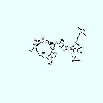 COc1cc2cc(c1Cl)N(C)C(=O)C[C@H](OC(=O)Nc1ccc(NC(=O)[C@H](CCCNC(N)=O)NC(=O)[C@@H](NC(=S)NCCCCN3C(=O)C=CC3=O)C(C)C)cc1C)[C@]1(C)CC[C@H]1[C@H](C)[C@@H]1C[C@@](O)(NC(=O)O1)[C@H](OC)/C=C/C=C(\C)C2